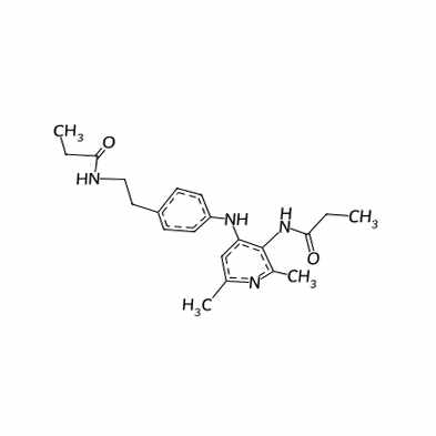 CCC(=O)NCCc1ccc(Nc2cc(C)nc(C)c2NC(=O)CC)cc1